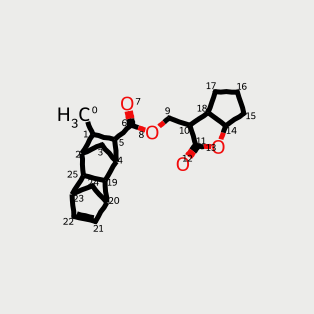 CC1C2CC(C1C(=O)OCC1C(=O)OC3CCCC31)C1C3C=CC(C3)C21